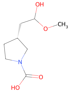 COC(O)C[C@H]1CCN(C(=O)O)C1